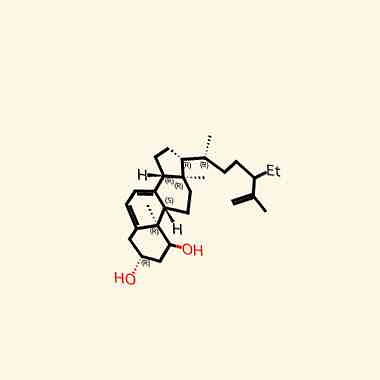 C=C(C)C(CC)CC[C@@H](C)[C@H]1CC[C@H]2C3=CC=C4C[C@@H](O)CC(O)[C@]4(C)[C@H]3CC[C@]12C